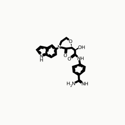 N=C(N)c1ccc(NC(=O)[C@H](O)[C@H]2OCCN(c3ccc4[nH]ccc4c3)C2=O)cc1